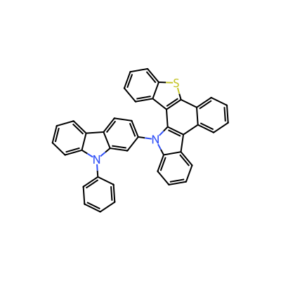 c1ccc(-n2c3ccccc3c3ccc(-n4c5ccccc5c5c6ccccc6c6sc7ccccc7c6c54)cc32)cc1